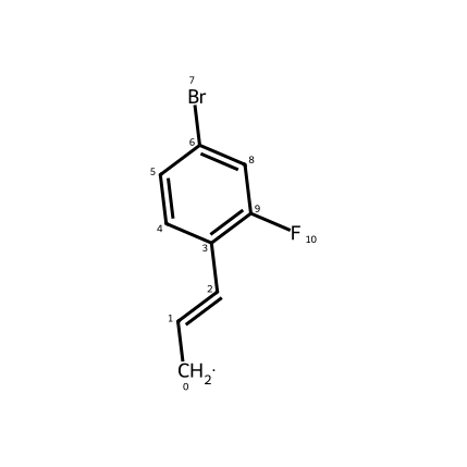 [CH2]C=Cc1ccc(Br)cc1F